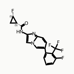 O=C(Nc1cn2cc(-c3cccc(F)c3C(F)(F)F)ccc2n1)[C@@H]1C[C@@H]1F